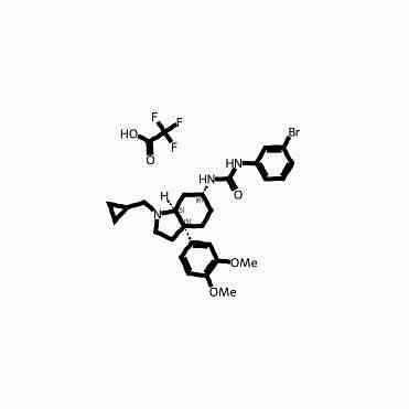 COc1ccc([C@@]23CC[C@@H](NC(=O)Nc4cccc(Br)c4)C[C@@H]2N(CC2CC2)CC3)cc1OC.O=C(O)C(F)(F)F